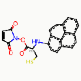 O=C(ON1C(=O)C=CC1=O)[C@H](CS)Nc1ccc2ccc3cccc4ccc1c2c34